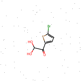 O=C(c1ccc(Br)s1)C(O)O